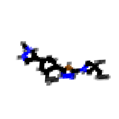 CCCC1(CNC)CN(c2nnc(-c3ccc(-c4cnn(C)c4)cc3OC)s2)C1